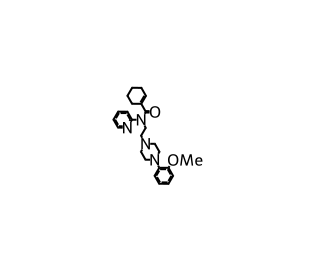 COc1ccccc1N1CCN(CCN(C(=O)C2=CCCCC2)c2ccccn2)CC1